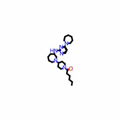 CCCCCC(=O)N1CCC(N2CCCCC(Nc3nccc(N4CCCCCC4)n3)C2)CC1